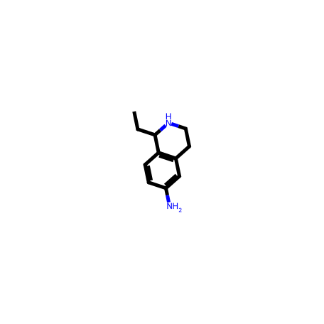 CCC1NCCc2cc(N)ccc21